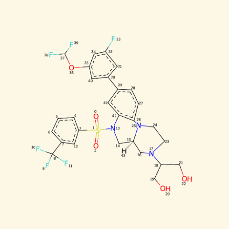 O=S(=O)(c1cccc(C(F)(F)F)c1)N1C[C@@H]2CN(C(CO)CO)CCN2c2ccc(-c3cc(F)cc(OC(F)F)c3)cc21